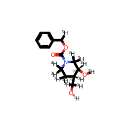 [3H]OC([3H])([3H])[C@]1([3H])C([3H])([3H])C([3H])([3H])N(C(=O)OC([3H])c2ccccc2)C([3H])([3H])[C@]1([3H])O[3H]